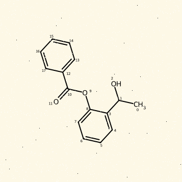 CC(O)c1ccccc1OC(=O)c1ccccc1